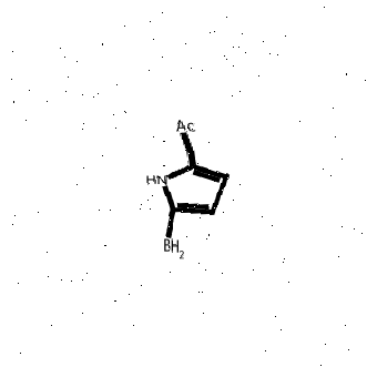 Bc1ccc(C(C)=O)[nH]1